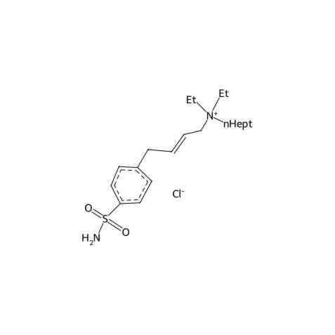 CCCCCCC[N+](CC)(CC)C/C=C/Cc1ccc(S(N)(=O)=O)cc1.[Cl-]